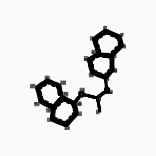 CC(Oc1[c]c2ccccc2cc1)Oc1cccc2ccccc12